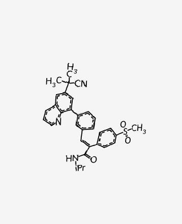 CC(C)NC(=O)/C(=C/c1cccc(-c2cc(C(C)(C)C#N)cc3cccnc23)c1)c1ccc(S(C)(=O)=O)cc1